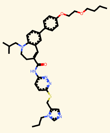 CCCCOCCOc1ccc(-c2ccc3c(c2)C=C(C(=O)Nc2ccc(SCc4cncn4CCC)nn2)CCN3CC(C)C)cc1